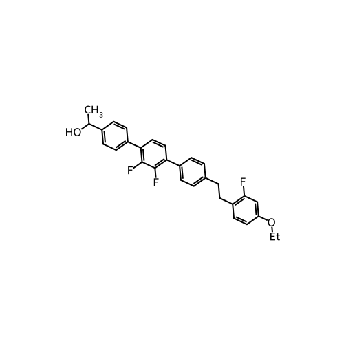 CCOc1ccc(CCc2ccc(-c3ccc(-c4ccc(C(C)O)cc4)c(F)c3F)cc2)c(F)c1